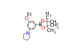 CCOc1cc(B2OC(C)(C)C(C)(C)O2)cc(N2CCCC2)c1